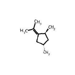 CC(C)=C1C[C@@H](C)C[C@@H]1C